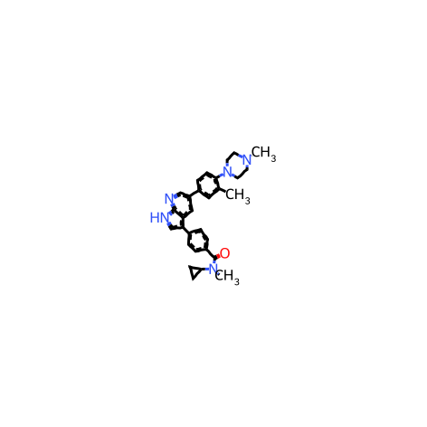 Cc1cc(-c2cnc3[nH]cc(-c4ccc(C(=O)N(C)C5CC5)cc4)c3c2)ccc1N1CCN(C)CC1